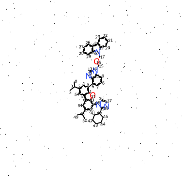 CC(C)c1cc(-c2cccc3c2ncn3COCn2c3ccccc3c3ccccc32)c2oc3c(-n4ccnc4C4CCCCC4)cc(C(C)C)cc3c2c1